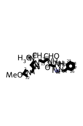 COC1CN(Cc2cc(N(C)C)n(CCC(C=O)NC(=O)C(=N)/N=C\NCc3ccccc3)n2)C1